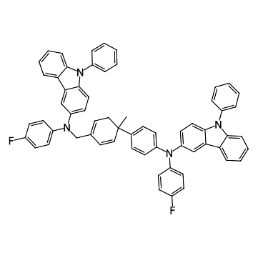 CC1(c2ccc(N(c3ccc(F)cc3)c3ccc4c(c3)c3ccccc3n4-c3ccccc3)cc2)C=CC(CN(c2ccc(F)cc2)c2ccc3c(c2)c2ccccc2n3-c2ccccc2)=CC1